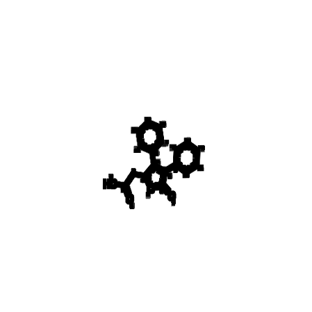 O=C(O)Cc1oc(=O)n(-c2ccccc2)c1-c1ccccc1